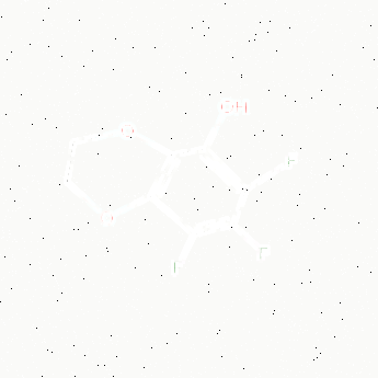 Oc1c(F)c(F)c(F)c2c1OCCO2